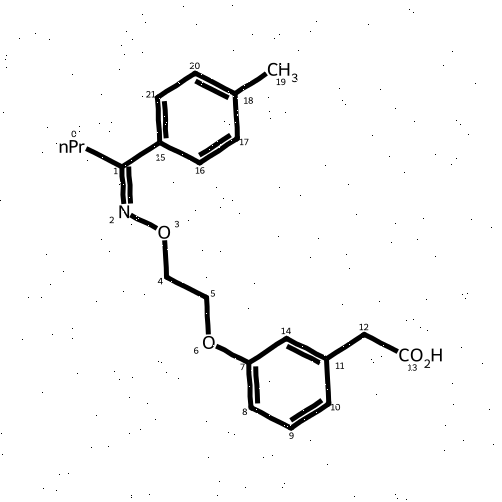 CCCC(=NOCCOc1cccc(CC(=O)O)c1)c1ccc(C)cc1